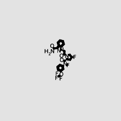 NC(=O)c1nn(CC(=O)N2C[C@H](F)C[C@H]2C(=O)N(F)c2cccc(OC(F)(F)F)c2)c2ccccc12